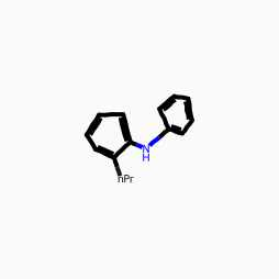 CCCc1ccccc1Nc1ccccc1